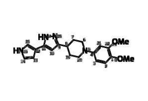 COc1ccc(N2CCC(c3cc(-c4cc[nH]c4)[nH]n3)CC2)cc1OC